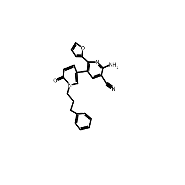 N#Cc1cc(-c2ccc(=O)n(CCCc3ccccc3)c2)c(-c2ccco2)nc1N